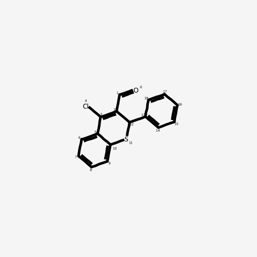 O=CC1=C(Cl)c2ccccc2SC1c1ccccc1